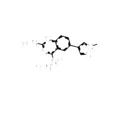 Cn1cc(-c2ccc3nc(N)nc(NN)c3c2)cn1